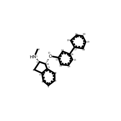 CN[C@H]1Cc2ccccc2[C@H]1Oc1cccc(-c2ccccc2)c1